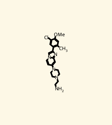 COc1cc(C)c(-c2cn3ccc(N4CCN(CCN)CC4)cc3n2)cc1Cl